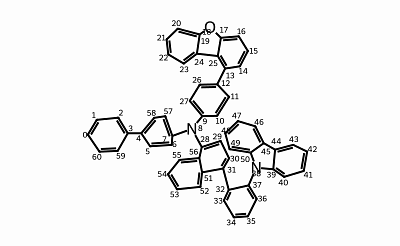 c1ccc(-c2ccc(N(c3ccc(-c4cccc5oc6ccccc6c45)cc3)c3ccc(-c4ccccc4-n4c5ccccc5c5ccccc54)c4ccccc34)cc2)cc1